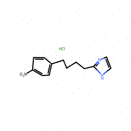 Cl.O=[N+]([O-])c1ccc(CCCCc2ncc[nH]2)cc1